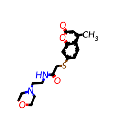 Cc1cc(=O)oc2cc(SCC(=O)NCCN3CCOCC3)ccc12